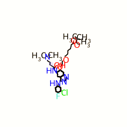 CN(C)C/C=C/C(O)Nc1cc2c(Nc3ccc(F)c(Cl)c3)ncnc2cc1OCCOCCCCCC(=O)OC(C)(C)C